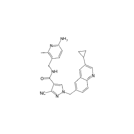 Cc1nc(N)ccc1CNC(=O)c1cn(Cc2ccc3ncc(C4CC4)cc3c2)nc1C#N